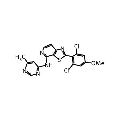 COc1cc(Cl)c(-c2nc3ccnc(Nc4cc(C)ncn4)c3s2)c(Cl)c1